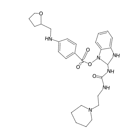 O=C(NCCN1CCCCC1)NC1Nc2ccccc2N1OS(=O)(=O)c1ccc(NCC2CCCO2)cc1